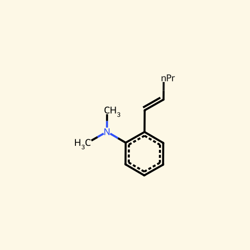 CCCC=Cc1ccccc1N(C)C